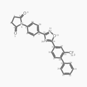 O=C1CCC(=O)N1c1ccc(-c2noc(-c3ccc(-c4ccccc4)c(C(F)(F)F)c3)n2)cc1